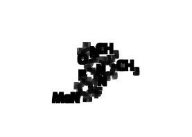 CNc1cc(F)c(-c2nc3cc(C)ccn3c2CC2CN(C)CCO2)c(F)c1